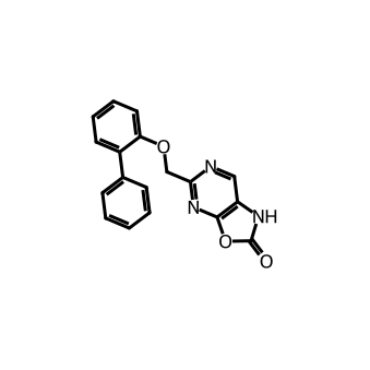 O=c1[nH]c2cnc(COc3ccccc3-c3ccccc3)nc2o1